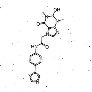 CN1C(=O)c2c(ncn2CC(=O)Nc2ccc(-c3cncs3)cc2)N(C)C1O